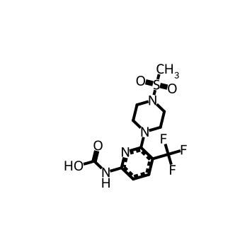 CS(=O)(=O)N1CCN(c2nc(NC(=O)O)ccc2C(F)(F)F)CC1